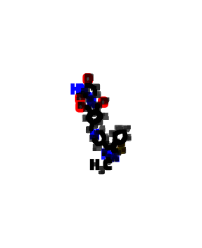 Cc1nc(C2CCN(Cc3ccc4c(c3)C(=O)N(N3CCC(=O)NC3=O)C4=O)CC2)c2c3c(sc2n1)CCCC3